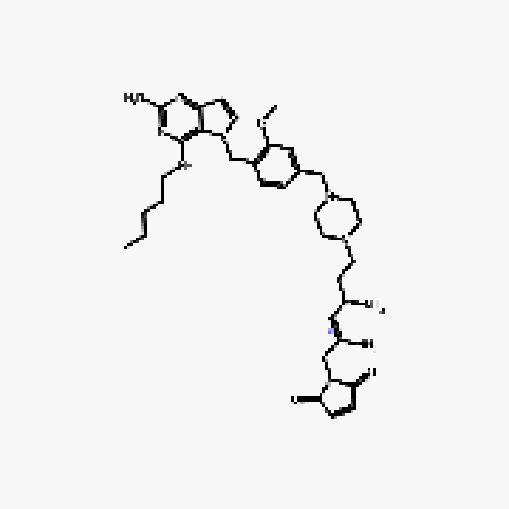 CCCCCNc1nc(N)nc2ccn(Cc3ccc(CN4CCN(CCN(N)/C=C(\N)CN5C(=O)C=CC5=O)CC4)cc3OC)c12